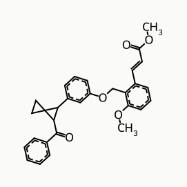 COC(=O)/C=C/c1cccc(OC)c1COc1cccc(C2C(C(=O)c3ccccc3)C23CC3)c1